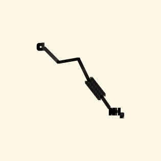 NC#CCCCl